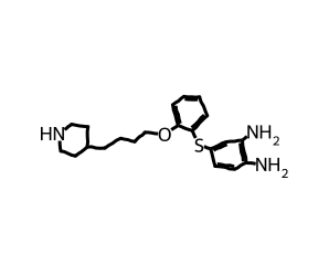 Nc1ccc(Sc2ccccc2OCCCCC2CCNCC2)cc1N